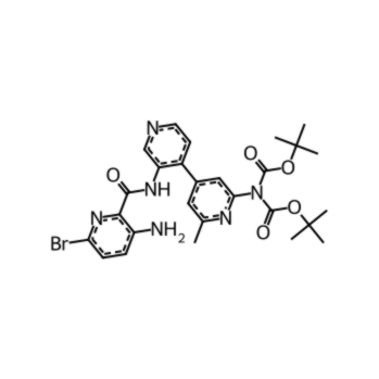 Cc1cc(-c2ccncc2NC(=O)c2nc(Br)ccc2N)cc(N(C(=O)OC(C)(C)C)C(=O)OC(C)(C)C)n1